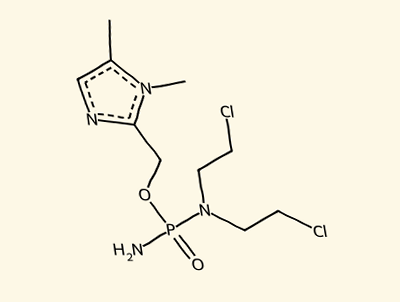 Cc1cnc(COP(N)(=O)N(CCCl)CCCl)n1C